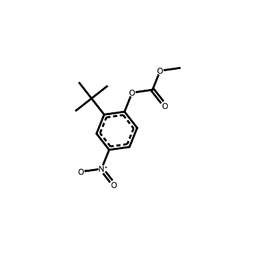 COC(=O)Oc1ccc([N+](=O)[O-])cc1C(C)(C)C